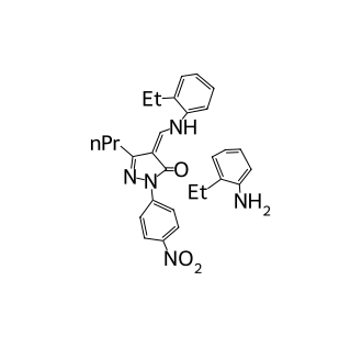 CCCC1=NN(c2ccc([N+](=O)[O-])cc2)C(=O)/C1=C\Nc1ccccc1CC.CCc1ccccc1N